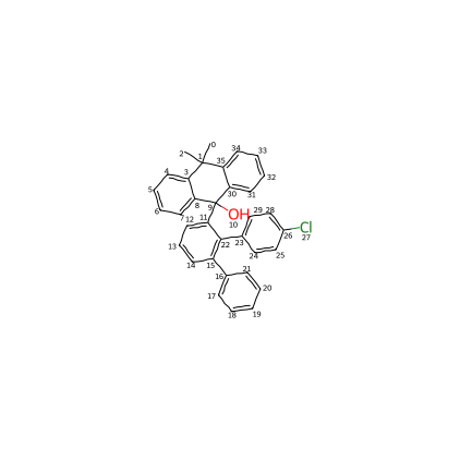 CC1(C)c2ccccc2C(O)(c2cccc(-c3ccccc3)c2-c2ccc(Cl)cc2)c2ccccc21